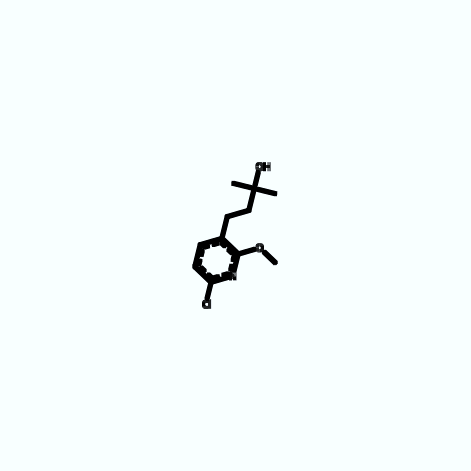 COc1nc(Cl)ccc1CCC(C)(C)O